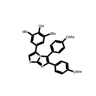 COc1ccc(-c2nc3scc(-c4cc(C(C)(C)C)c(O)c(C(C)(C)C)c4)n3c2-c2ccc(OC)cc2)cc1